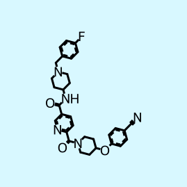 N#Cc1ccc(OC2CCN(C(=O)c3ccc(C(=O)NC4CCN(Cc5ccc(F)cc5)CC4)cn3)CC2)cc1